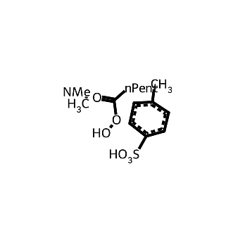 CCCCCC(=O)OO.CNC.Cc1ccc(S(=O)(=O)O)cc1